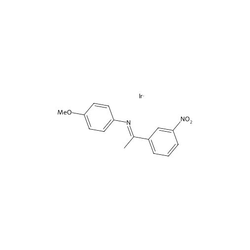 COc1ccc(/N=C(\C)c2cccc([N+](=O)[O-])c2)cc1.[Ir]